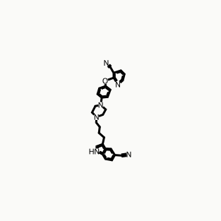 N#Cc1ccc2[nH]cc(CCCCN3CCN(c4ccc(Oc5ncccc5C#N)cc4)CC3)c2c1